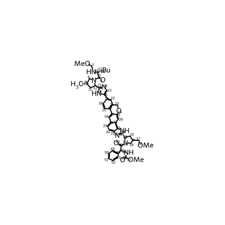 CC[C@H](C)[C@H](NCOC)C(=O)N1C[C@@H](C)CC1c1ncc(-c2ccc3c(c2)COc2cc4c(ccc5nc([C@@H]6CC(COC)CN6C(=O)C(NC(=O)OC)c6ccccc6)[nH]c54)cc2-3)[nH]1